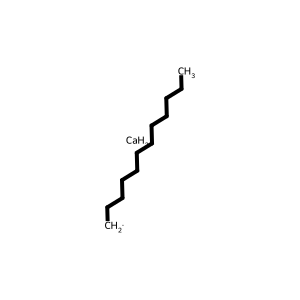 [CH2]CCCCCCCCCCC.[CaH2]